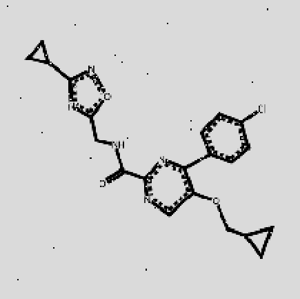 O=C(NCc1nc(C2CC2)no1)c1ncc(OCC2CC2)c(-c2ccc(Cl)cc2)n1